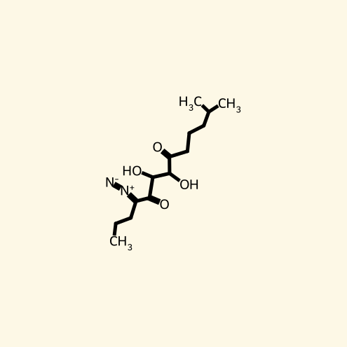 CCCC(=[N+]=[N-])C(=O)C(O)C(O)C(=O)CCCC(C)C